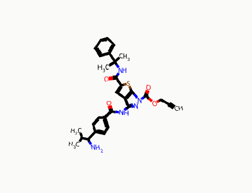 C#CCOC(=O)n1nc(NC(=O)c2ccc(C(N)C(C)C)cc2)c2cc(C(=O)NC(C)(C)c3ccccc3)sc21